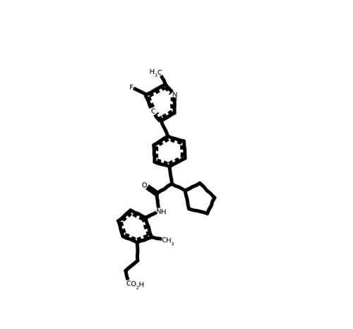 Cc1ncc(-c2ccc(C(C(=O)Nc3cccc(CCC(=O)O)c3C)C3CCCC3)cc2)cc1F